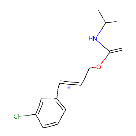 C=C(NC(C)C)OC/C=C/c1cccc(Cl)c1